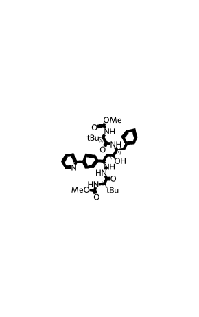 COC(=O)N[C@H](C(=O)NNC(C[C@H](O)[C@H](Cc1ccccc1)NC(=O)[C@@H](NC(=O)OC)C(C)(C)C)c1ccc(-c2ccccn2)cc1)C(C)(C)C